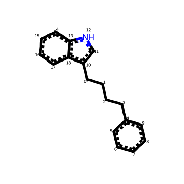 [CH](CCCc1ccccc1)c1c[nH]c2ccccc12